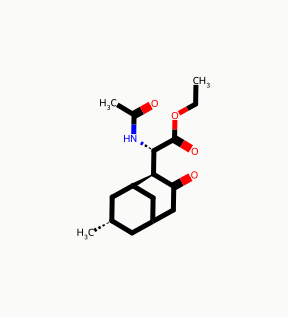 CCOC(=O)[C@@H](NC(C)=O)[C@H]1C(=O)CC2CC1C[C@@H](C)C2